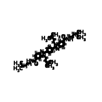 CN(C)CCCNC(=O)c1ccc2nc(-c3ccc(-c4nc5ccc(C(=O)NCCCN(C)C)cc5n4CCN(C)C)cc3)n(CCN(C)C)c2c1